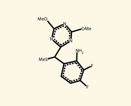 COc1nc(OC)nc(C(SC)c2ccc(F)c(F)c2N)n1